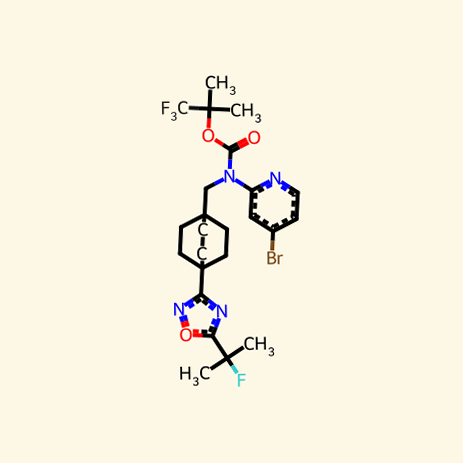 CC(C)(F)c1nc(C23CCC(CN(C(=O)OC(C)(C)C(F)(F)F)c4cc(Br)ccn4)(CC2)CC3)no1